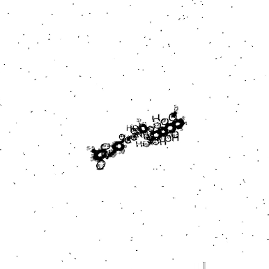 COc1cccc2c1C(=O)c1c(O)c3c(c(O)c1C2=O)C[C@@](O)(C(=O)CO)C[C@@H]3O[C@@H]1C[C@@H](C)[C@@H](O)[C@@H](NC(=O)OCOC(=O)C2CCC(CN3C(=O)CC(C)C3=O)CC2)C1